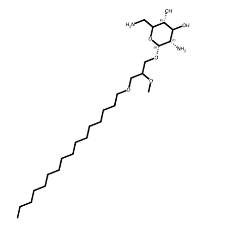 CCCCCCCCCCCCCCCCOCC(CO[C@@H]1OC(CN)[C@H](O)C(O)[C@@H]1N)OC